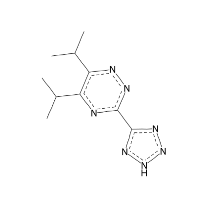 CC(C)c1nnc(-c2nn[nH]n2)nc1C(C)C